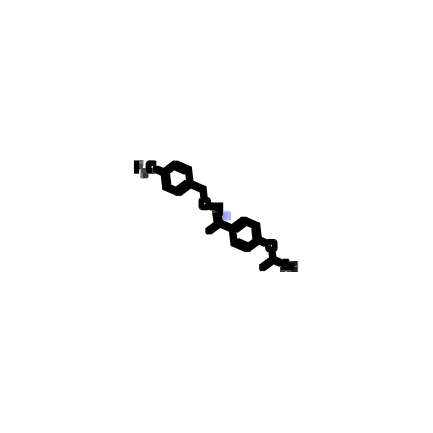 CC(=O)C(C)Oc1ccc(/C(C)=N/OCc2ccc(C(F)(F)F)cc2)cc1